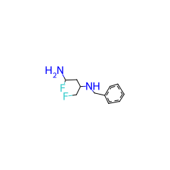 NC(F)CC(CF)NCc1ccccc1